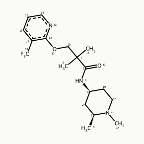 C[C@H]1C[C@@H](NC(=O)C(C)(C)COc2ncccc2C(F)(F)F)CCN1C